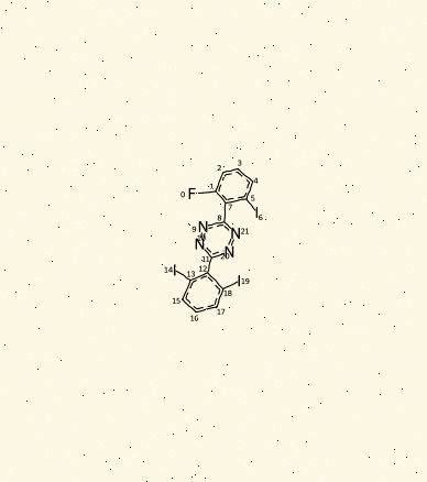 Fc1cccc(I)c1-c1nnc(-c2c(I)cccc2I)nn1